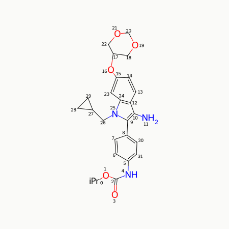 CC(C)OC(=O)Nc1ccc(-c2c(N)c3ccc(OC4COCOC4)cc3n2CC2CC2)cc1